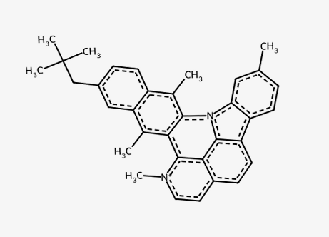 Cc1ccc2c3ccc4cc[n+](C)c5c6c(C)c7cc(CC(C)(C)C)ccc7c(C)c6n(c2c1)c3c45